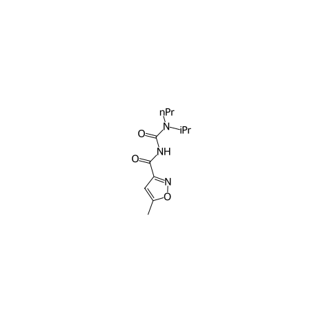 CCCN(C(=O)NC(=O)c1cc(C)on1)C(C)C